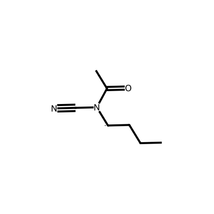 CCC[CH]N(C#N)C(C)=O